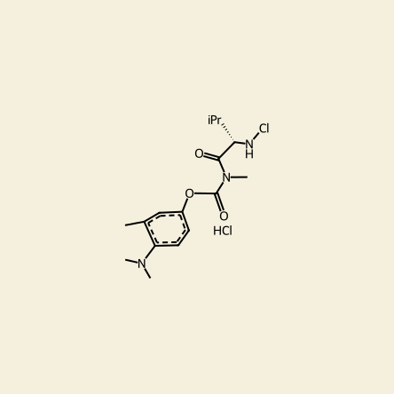 Cc1cc(OC(=O)N(C)C(=O)[C@@H](NCl)C(C)C)ccc1N(C)C.Cl